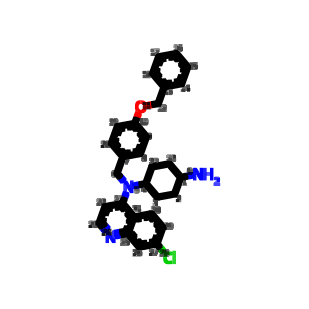 NC1CCC(N(Cc2ccc(OCc3ccccc3)cc2)c2ccnc3cc(Cl)ccc23)CC1